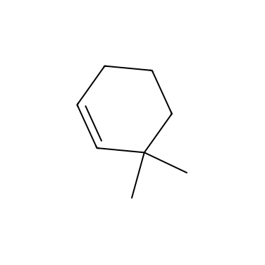 CC1(C)C=CCCC1